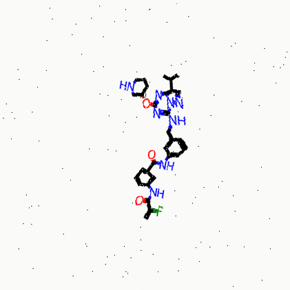 C=C(F)C(=O)Nc1cccc(C(=O)Nc2cccc(CNc3nc(O[C@@H]4CCCNC4)nc4c(C(C)C)cnn34)c2)c1